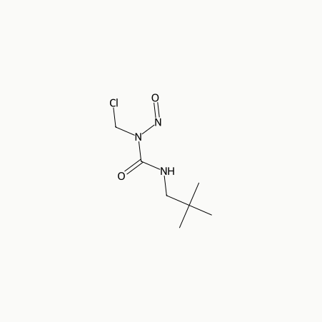 CC(C)(C)CNC(=O)N(CCl)N=O